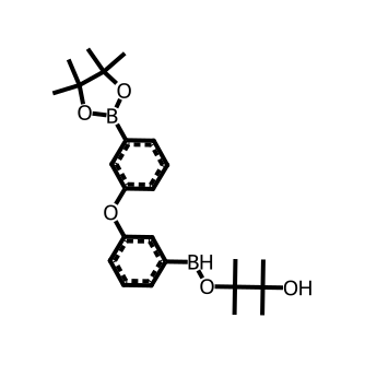 CC(C)(O)C(C)(C)OBc1cccc(Oc2cccc(B3OC(C)(C)C(C)(C)O3)c2)c1